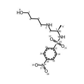 C[C@H](CNCCCCO)NS(=O)(=O)c1ccc([N+](=O)[O-])cc1